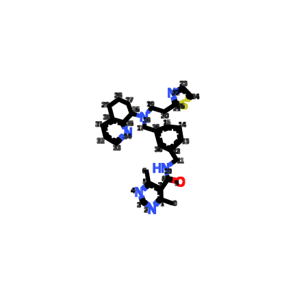 Cc1ncnc(C)c1C(=O)NCc1cccc(CN(CCc2nccs2)C2CCCc3cccnc32)c1